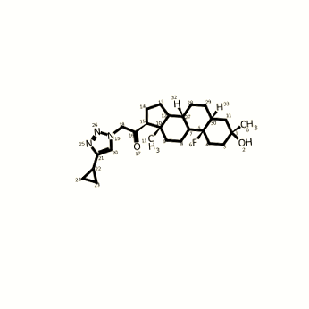 C[C@@]1(O)CC[C@]2(F)C3CC[C@@]4(C)C(CC[C@@H]4C(=O)Cn4cc(C5CC5)nn4)[C@@H]3CC[C@@H]2C1